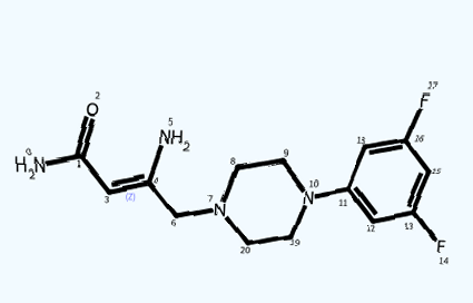 NC(=O)/C=C(\N)CN1CCN(c2cc(F)cc(F)c2)CC1